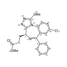 COC(=O)CC[C@@H]1N=C(c2ccccc2)c2cc(Cl)ccc2-n2c(SC)nnc21